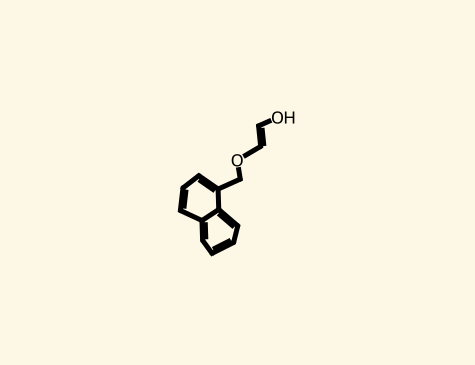 OC=COCc1cccc2ccccc12